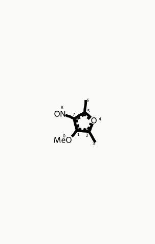 COc1c(C)oc(C)c1N=O